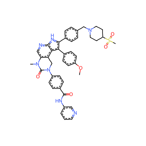 COc1ccc(-c2c(-c3ccc(CN4CCC(S(C)(=O)=O)CC4)cc3)[nH]c3ncc4c(c23)CN(c2ccc(C(=O)Nc3cccnc3)cc2)C(=O)N4C)cc1